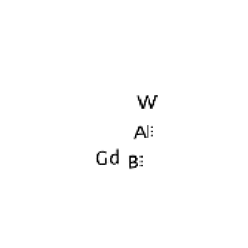 [Al].[B].[Gd].[W]